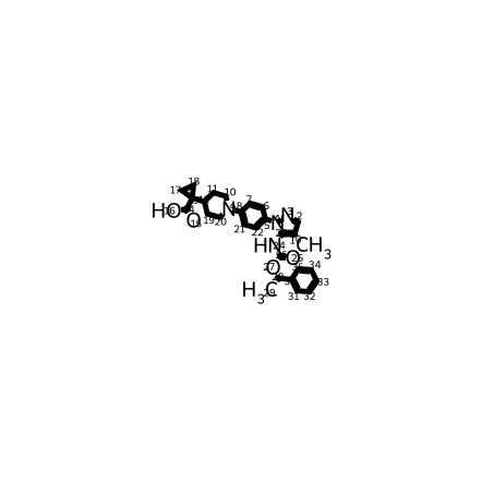 Cc1cnn(-c2ccc(N3CCC(C4(C(=O)O)CC4)CC3)cc2)c1NC(=O)OC(C)c1ccccc1